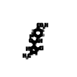 Cc1cc(Cl)c(C(=O)N[C@@H]2CCN(C(=O)O)C[C@@H]2F)[nH]1